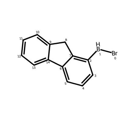 BrBc1cccc2c1Cc1ccccc1-2